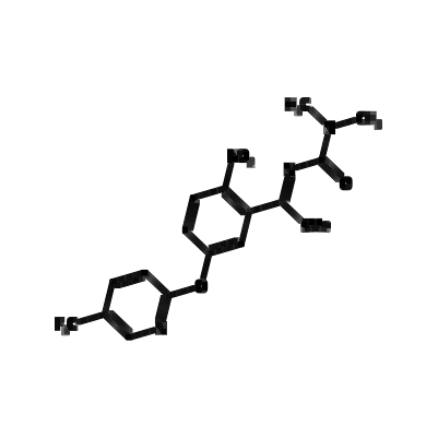 CSC(=NC(=O)N(C)C)c1cc(Oc2ccc(C(F)(F)F)cn2)ccc1[N+](=O)[O-]